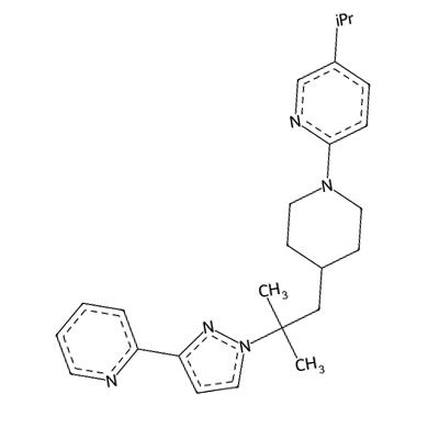 CC(C)c1ccc(N2CCC(CC(C)(C)n3ccc(-c4ccccn4)n3)CC2)nc1